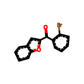 O=C(c1cc2ccccc2o1)c1ccccc1Br